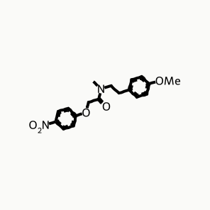 COc1ccc(CCN(C)C(=O)COc2ccc([N+](=O)[O-])cc2)cc1